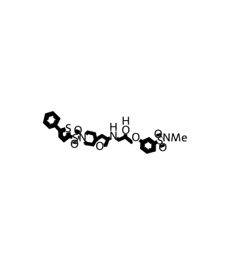 CNS(=O)(=O)c1cccc(OCC(O)CNC2COC3(CCN(S(=O)(=O)c4ccc(-c5ccccc5)s4)CC3)C2)c1